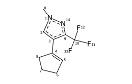 Cn1cc(C2=CCCC2)c(C(F)(F)F)n1